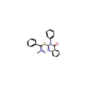 CN(C)C(Sc1nc2ccccc2c(=O)n1-c1ccccc1)c1ccccc1